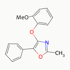 COc1ccccc1Oc1nc(C)oc1-c1ccccc1